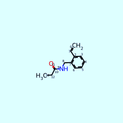 C=Cc1ccccc1CNC(=O)CC